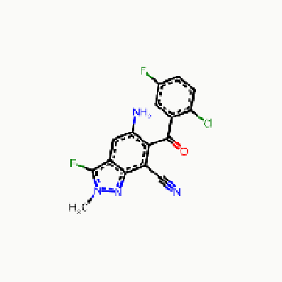 Cn1nc2c(C#N)c(C(=O)c3cc(F)ccc3Cl)c(N)cc2c1F